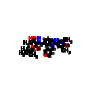 Cc1cc(C2Nc3ccc(CN[C@H](C(=O)OCC(C)(C)C)[C@@H](C)O)cc3N2CC2CCOCC2)cn(C)c1=O